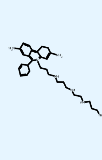 NCCCNCCNCCCNCCC[n+]1c2c(c3ccc(N)cc3c1C1C=CC=CC1)CCC(N)=C2